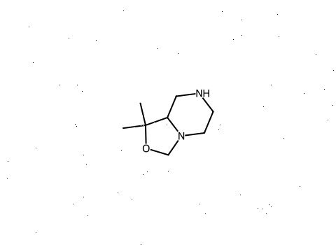 CC1(C)OCN2CCNCC21